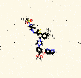 COC(=O)c1ccc(N2CCN(CC3CCC(C)(C)CC3c3cc(CN4CC5(C4)CN(S(C)(=O)=O)C5)cs3)CC2)cc1Oc1cnc2[nH]ccc2c1